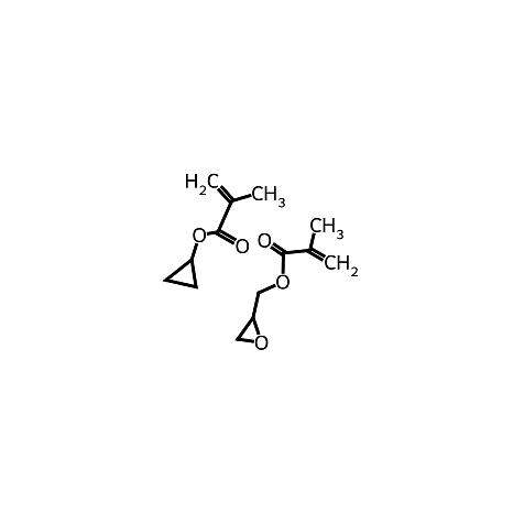 C=C(C)C(=O)OC1CC1.C=C(C)C(=O)OCC1CO1